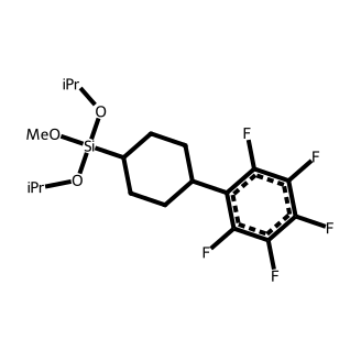 CO[Si](OC(C)C)(OC(C)C)C1CCC(c2c(F)c(F)c(F)c(F)c2F)CC1